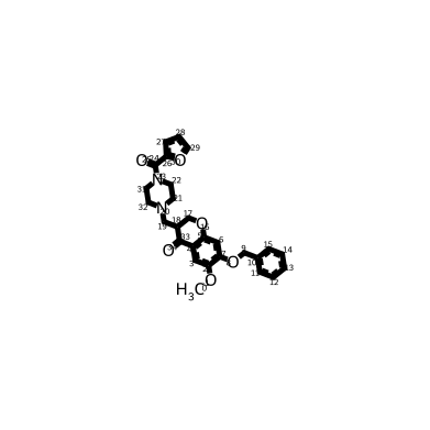 COc1cc2c(cc1OCc1ccccc1)OCC(CN1CCN(C(=O)c3ccco3)CC1)C2=O